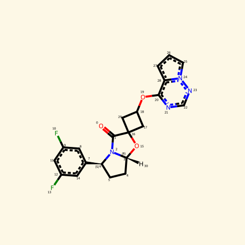 O=C1N2[C@@H](CC[C@H]2c2cc(F)cc(F)c2)OC12CC(Oc1ncnn3cccc13)C2